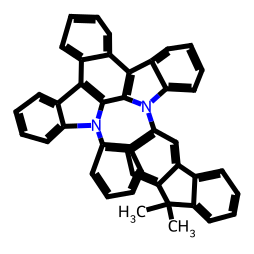 CC1(C)c2ccccc2-c2cc(-n3c4ccccc4c4c5ccccc5c5c6ccccc6n(-c6ccccc6)c5c43)ccc21